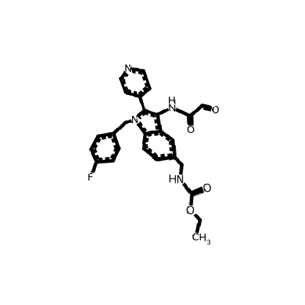 CCOC(=O)NCc1ccc2c(c1)c(NC(=O)C=O)c(-c1ccncc1)n2Cc1ccc(F)cc1